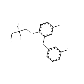 B[C@@](CO)(CCCC)CSc1ccc(F)cc1Cc1cccc([N+](=O)[O-])c1